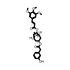 COc1cc(/C=C/C(=O)O[C@H]2C[C@@H]3C[C@H](OC(=O)Cc4cccc(O)c4)C[C@H]2N3C)cc(OC)c1OC